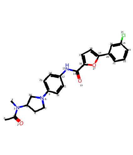 CC(=O)N(C)C1CCN(c2ccc(NC(=O)c3ccc(-c4cccc(Cl)c4)o3)cc2)C1